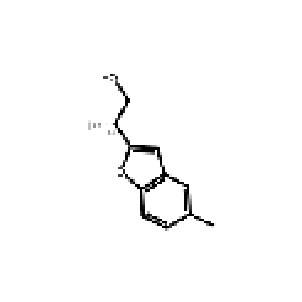 Cc1ccc2oc([C@H](I)CO)cc2c1